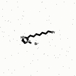 CC(C)CCCCCCCc1[nH]cc[n+]1C.[Br-]